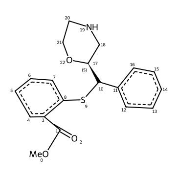 COC(=O)c1ccccc1SC(c1ccccc1)[C@@H]1CNCCO1